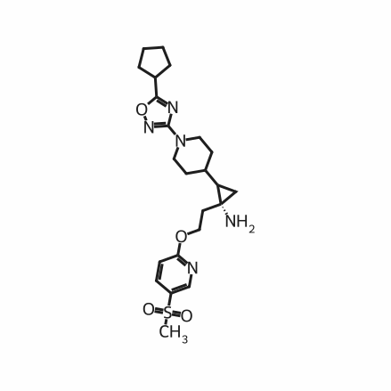 CS(=O)(=O)c1ccc(OCC[C@]2(N)CC2C2CCN(c3noc(C4CCCC4)n3)CC2)nc1